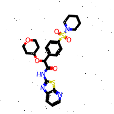 O=C(Nc1nc2cccnc2s1)C(OC1CCOCC1)c1ccc(S(=O)(=O)N2CCCCC2)cc1